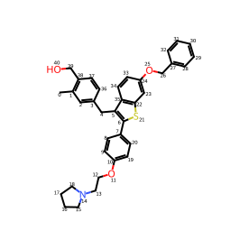 Cc1cc(Cc2c(-c3ccc(OCCN4CCCC4)cc3)sc3cc(OCc4ccccc4)ccc23)ccc1CO